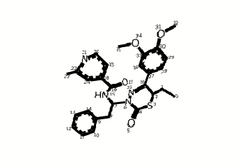 CCC1SC(=O)N(C(Cc2ccccc2)NC(=O)c2ccnc(C)c2)N=C1c1ccc(OC)c(OC)c1